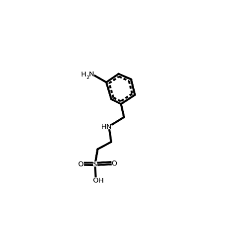 Nc1cccc(CNCCS(=O)(=O)O)c1